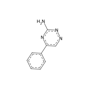 Nc1nncc(-c2ccccc2)n1